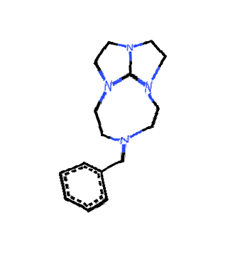 c1ccc(CN2CCN3CCN4CCN(CC2)C34)cc1